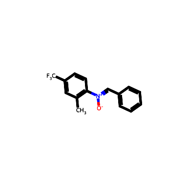 Cc1cc(C(F)(F)F)ccc1[N+]([O-])=Cc1ccccc1